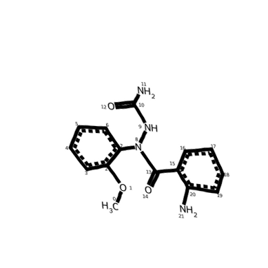 COc1ccccc1N(NC(N)=O)C(=O)c1ccccc1N